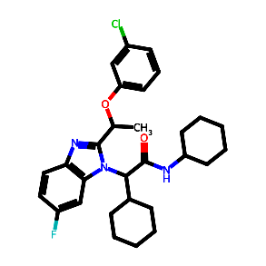 CC(Oc1cccc(Cl)c1)c1nc2ccc(F)cc2n1C(C(=O)NC1CCCCC1)C1CCCCC1